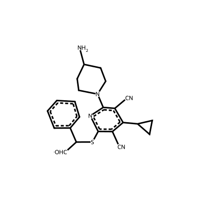 N#Cc1c(SC([C]=O)c2ccccc2)nc(N2CCC(N)CC2)c(C#N)c1C1CC1